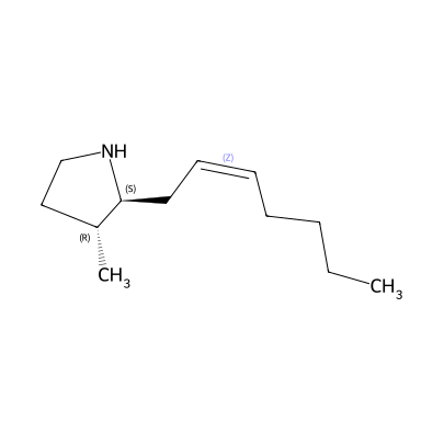 CCCC/C=C\C[C@@H]1NCC[C@H]1C